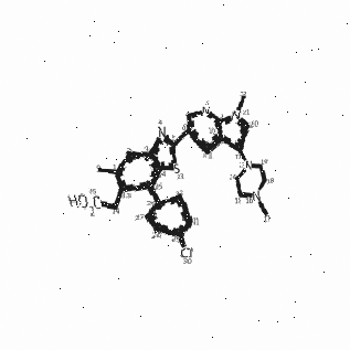 Cc1cc2nc(-c3cnc4c(c3)c(N3CCN(C)CC3)cn4C)sc2c(-c2ccc(Cl)cc2)c1CC(=O)O